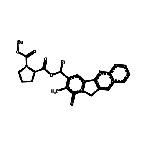 CCC(OC(=O)[C@H]1CCCN1C(=O)OC(C)(C)C)c1cc2n(c(=O)c1C)Cc1cc3ccccc3nc1-2